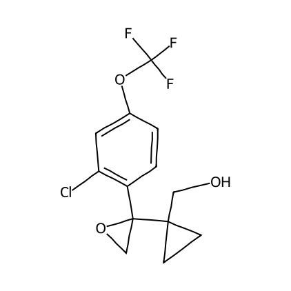 OCC1(C2(c3ccc(OC(F)(F)F)cc3Cl)CO2)CC1